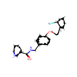 O=C(NCc1ccc(OCc2ccccc2F)cc1)c1cccnc1